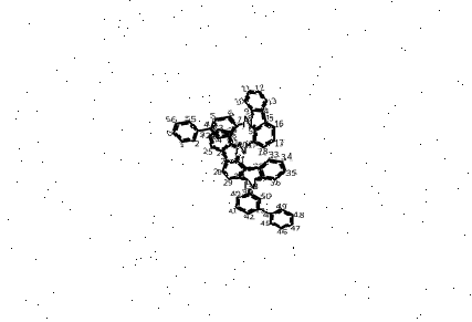 c1ccc(-c2ccc(-n3c4ccccc4c4cccc(-n5c6ccccc6c6ccc7c(c8ccccc8n7-c7cccc(-c8ccccc8)c7)c65)c43)cc2)cc1